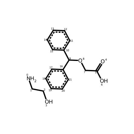 NCCO.O=C(O)COC(c1ccccc1)c1ccccc1